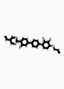 C=CCOc1ccc(-c2ccc(-c3ccc(-c4ncc(C=C)cn4)c(F)c3)cc2)c(F)c1F